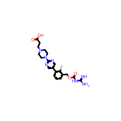 N=C(N)NC(=O)OCc1cccc(-c2cnc(N3CCN(CCC(=O)O)CC3)nc2)c1F